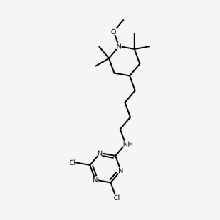 CON1C(C)(C)CC(CCCCNc2nc(Cl)nc(Cl)n2)CC1(C)C